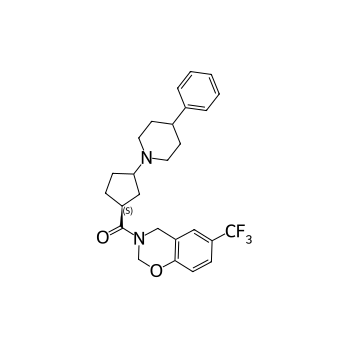 O=C([C@H]1CCC(N2CCC(c3ccccc3)CC2)C1)N1COc2ccc(C(F)(F)F)cc2C1